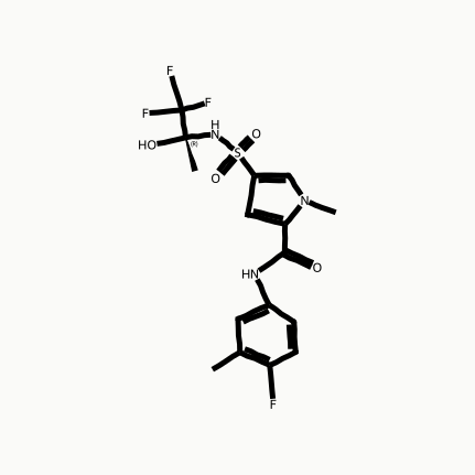 Cc1cc(NC(=O)c2cc(S(=O)(=O)N[C@](C)(O)C(F)(F)F)cn2C)ccc1F